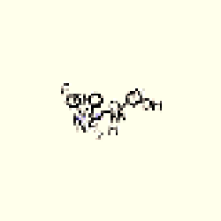 C=C(/C=C/C1NN=C(c2ccnc(O)c2)O1)N(/C(=N\N)c1ccc(F)cc1)c1ccccc1Cl